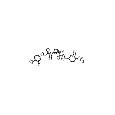 O=C(COc1ccc(Cl)c(F)c1)NC12CC(C1)[C@@H](C(=O)NCC1CCC(C(F)(F)F)NC1)C2